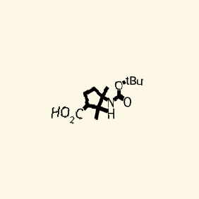 CC(C)(C)OC(=O)NC1(C)CCC(C(=O)O)C1(C)C